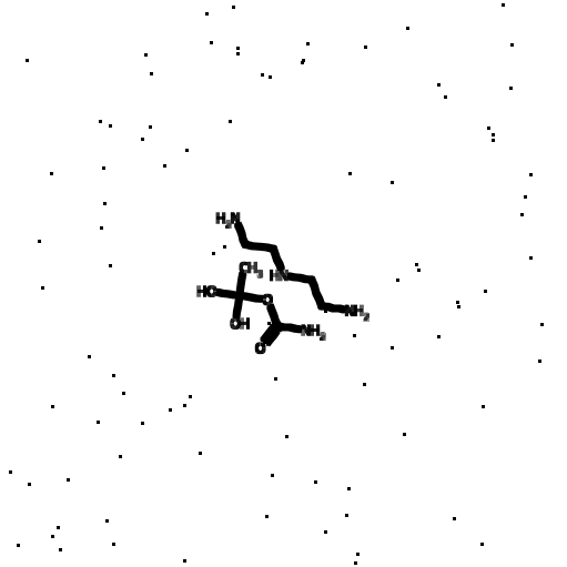 CC(O)(O)OC(N)=O.NCCNCCN